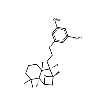 COc1cc(OC)cc(SCC[C@@H]2[C@@]3(C)CCCC(C)(C)[C@@H]3C3C[C@]2(C)O3)c1